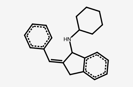 C(=C1Cc2ccccc2C1NC1CCCCC1)c1ccccc1